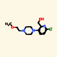 COCCN1CCN(c2ccc(Cl)nc2CO)CC1